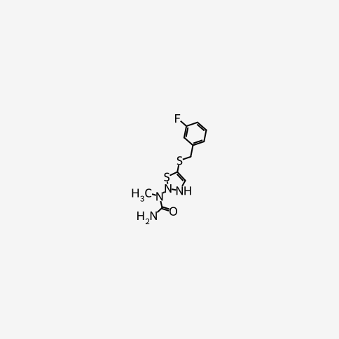 CN(C(N)=O)N1NC=C(SCc2cccc(F)c2)S1